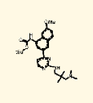 COc1ccc2cc(-c3ccnc(NCC(C)(C)CN(C)C)n3)cc(NC(=O)OC(C)(C)C)c2c1